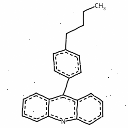 CCCCc1ccc(-c2c3ccccc3nc3ccccc23)cc1